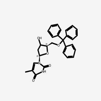 Cc1cn([C@H]2CC(O)[C@@H](COC(c3ccccc3)(c3ccccc3)c3ccccc3)O2)c(=O)[nH]c1=O